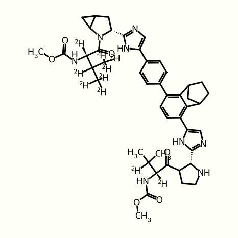 [2H]C([2H])([2H])C([2H])(C([2H])([2H])[2H])[C@]([2H])(NC(=O)OC)C(=O)N1C2CC2C[C@@H]1c1ncc(-c2ccc(-c3ccc(-c4cnc([C@@H]5NCCC5C(=O)[C@]([2H])(NC(=O)OC)C([2H])(C)C)[nH]4)c4c3C3CCC4C3)cc2)[nH]1